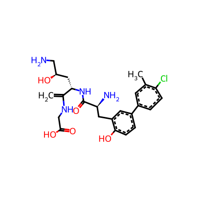 C=C(NCC(=O)O)[C@H](C[C@@H](O)CN)NC(=O)[C@@H](N)Cc1cc(-c2ccc(Cl)c(C)c2)ccc1O